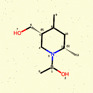 CB(O)N1C[C@H](CO)C(C)C[C@@H]1C